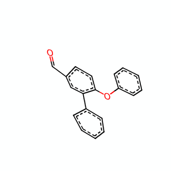 O=Cc1ccc(Oc2ccccc2)c(-c2ccccc2)c1